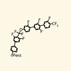 CCCCCc1ccc(-c2cc(F)c(C(F)(F)Oc3ccc(-c4cc(F)c(-c5ccc(C(F)(F)F)c(F)c5)c(F)c4)c(F)c3)c(F)c2)cc1